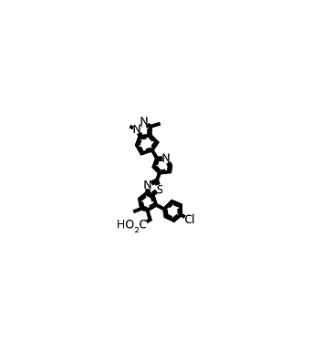 Cc1cc2nc(-c3ccnc(-c4ccc5c(c4)c(C)nn5C)c3)sc2c(-c2ccc(Cl)cc2)c1CC(=O)O